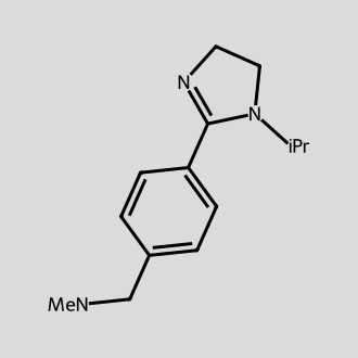 CNCc1ccc(C2=NCCN2C(C)C)cc1